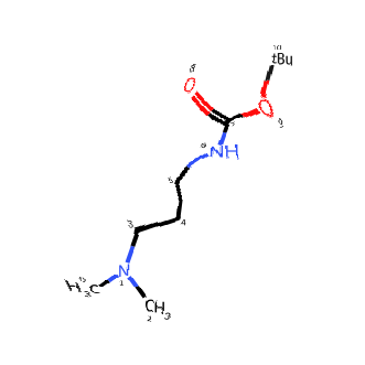 CN(C)CCCNC(=O)OC(C)(C)C